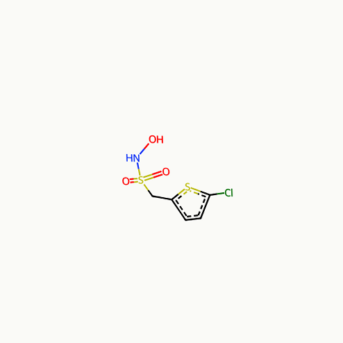 O=S(=O)(Cc1ccc(Cl)s1)NO